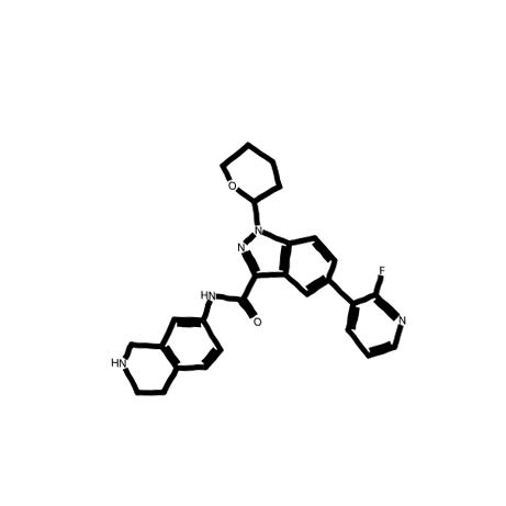 O=C(Nc1ccc2c(c1)CNCC2)c1nn(C2CCCCO2)c2ccc(-c3cccnc3F)cc12